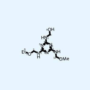 CCOCNc1nc(NCO)nc(NCOC)n1